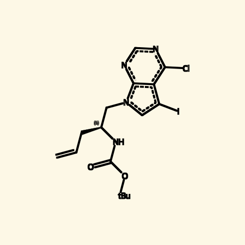 C=CC[C@@H](Cn1cc(I)c2c(Cl)ncnc21)NC(=O)OC(C)(C)C